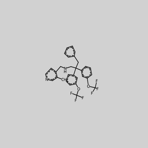 Cc1cnccc1CNCC(Cc1ccccc1)(c1cccc(OC(F)(F)F)c1)c1cccc(OC(F)(F)F)c1